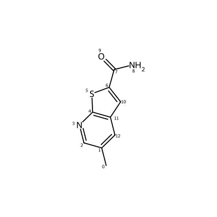 Cc1cnc2sc(C(N)=O)cc2c1